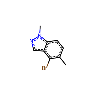 Cc1ccc2c(cnn2C)c1Br